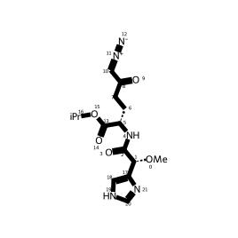 CO[C@@H](C(=O)N[C@@H](CCC(=O)C=[N+]=[N-])C(=O)OC(C)C)c1c[nH]cn1